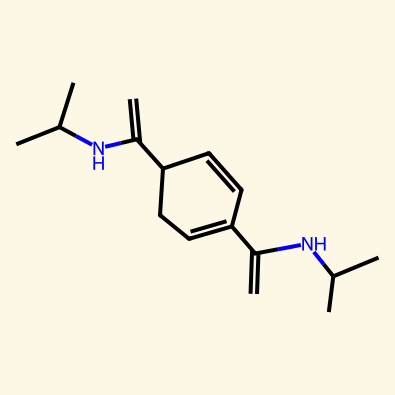 C=C(NC(C)C)C1=CCC(C(=C)NC(C)C)C=C1